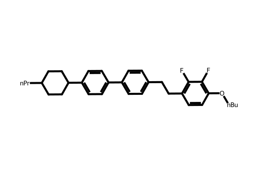 CCCCOc1ccc(CCc2ccc(-c3ccc(C4CCC(CCC)CC4)cc3)cc2)c(F)c1F